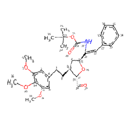 COc1cc(CC[C@H]2C[C@@H](C(=Cc3ccccc3)NC(=O)OC(C)(C)C)O[C@@H]2C=O)cc(OC)c1OC